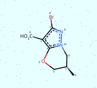 C[C@H]1COc2c(C(=O)O)c(Br)nn2C1